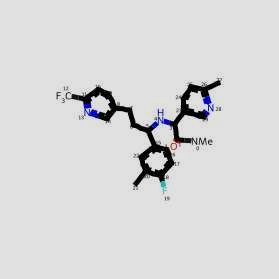 CNC(=O)C(NC(CCc1ccc(C(F)(F)F)nc1)c1ccc(F)c(C)c1)c1ccc(C)nc1